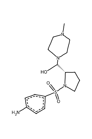 CN1CCN(C(O)[C@@H]2CCCN2S(=O)(=O)c2ccc(N)cc2)CC1